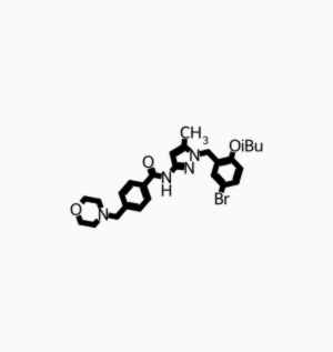 Cc1cc(NC(=O)c2ccc(CN3CCOCC3)cc2)nn1Cc1cc(Br)ccc1OCC(C)C